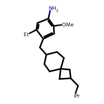 CCc1cc(N)c(OC)cc1CC1CCC2(CC1)CC(CC(C)C)C2